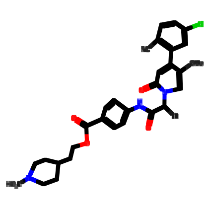 CCC(C(=O)Nc1ccc(C(=O)OCCC2CCN(C(=O)O)CC2)cc1)n1cc(OC)c(-c2cc(Cl)ccc2C#N)cc1=O